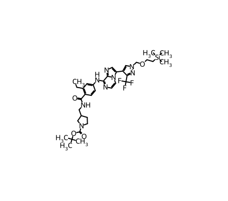 CCc1cc(Nc2nccn3c(-c4cn(COCC[Si](C)(C)C)nc4C(F)(F)F)cnc23)ccc1C(=O)NCC1CCN(C(=O)OC(C)(C)C)C1